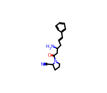 N#CC1CCCN1C(=O)CC(N)C/C=C/c1ccccc1